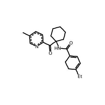 CCC1=CC=C(C(=O)NC2(C(=O)c3ccc(C)cn3)CCCCC2)CC1